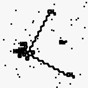 CCCCCCCCCCCCCCCC(=O)C(OP(=O)([O-])O)(C(=O)CCCCCCCCCCCCCCC)[C@@H](O)CO.[Na+]